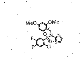 COc1ccc(CN(c2nccs2)S(=O)(=O)c2cc(F)c(F)cc2Cl)c(OC)c1